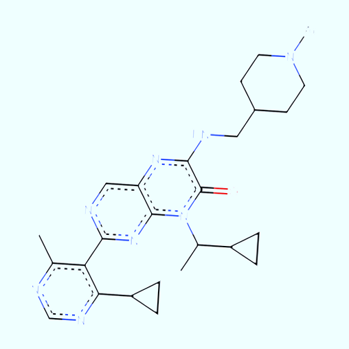 CC(=O)N1CCC(CNc2nc3cnc(-c4c(C)ncnc4C4CC4)nc3n(C(C)C3CC3)c2=O)CC1